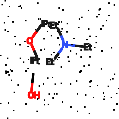 CC(C)OC(C)C.CCN(CC)CC.CO